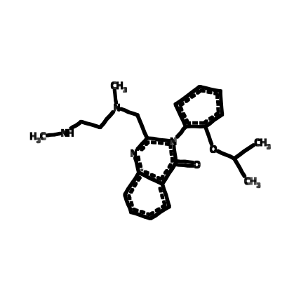 CNCCN(C)Cc1nc2ccccc2c(=O)n1-c1ccccc1OC(C)C